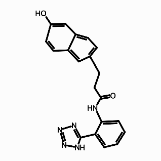 O=C(CCc1ccc2cc(O)ccc2c1)Nc1ccccc1-c1nnn[nH]1